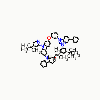 CC(C)(C)c1cc(-[n+]2cn(-c3cccc(Oc4ccc5c6cc(-n7c8ccccc8c8ccccc87)ccc6n(-c6cc(C(C)(C)C)ccn6)c5c4)c3)c3ccc(-c4ccccc4)cc32)cc(C(C)(C)C)c1